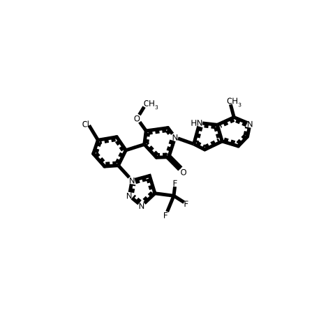 COc1cn(-c2[c]c3ccnc(C)c3[nH]2)c(=O)cc1-c1cc(Cl)ccc1-n1cc(C(F)(F)F)nn1